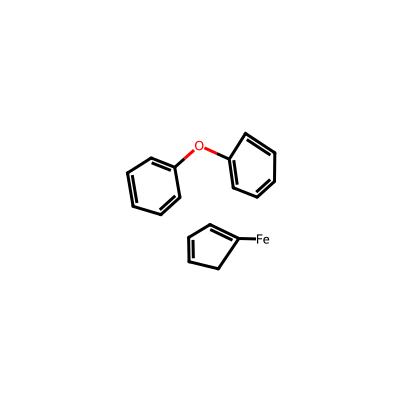 [Fe][C]1=CC=CC1.c1ccc(Oc2ccccc2)cc1